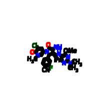 COc1nc(N(C)C)ncc1N/C(=C1\C(=N)C(=O)N(c2cc(Cl)c(=O)n(C)c2)C1c1ccc(C#N)c(F)c1)C(C)C